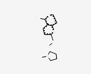 Cc1nccc2nc(OC[C@@H]3CCCN3C)ccc12